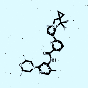 Cc1cnc(N2C[C@@H](C)O[C@@H](C)C2)cc1NC(=O)c1cccc(-c2cnn(CC3(C(F)(F)F)CC3)c2)n1